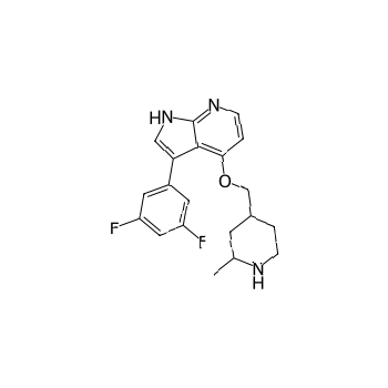 CC1CC(COc2ccnc3[nH]cc(-c4cc(F)cc(F)c4)c23)CCN1